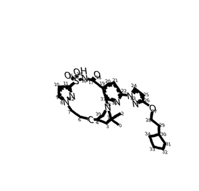 CC1(C)CC2CCCn3ccc(n3)S(=O)(=O)NC(=O)c3ccc(-n4ccc(OCCC5CCCC5)n4)nc3N1C2